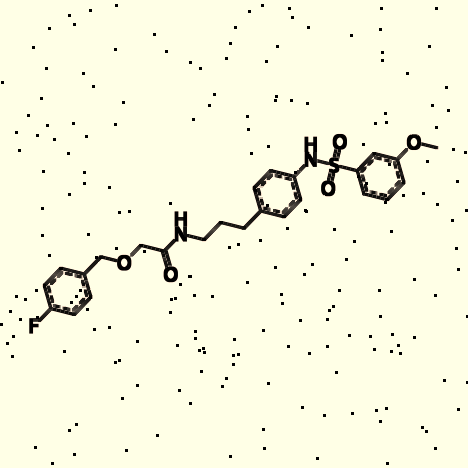 COc1cccc(S(=O)(=O)Nc2ccc(CCCNC(=O)COCc3ccc(F)cc3)cc2)c1